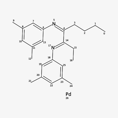 CCCCC(=Nc1cc(C)cc(C)c1)C(CC)=Nc1cc(C)cc(C)c1.[Pd]